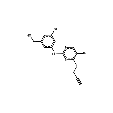 C#CCOc1nc(Nc2cc(N)cc(CO)c2)ncc1Br